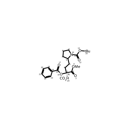 COC(=O)[C@](CCC1CCCN1C(=O)OC(C)(C)C)(OC(=O)c1ccccc1)C(=O)O